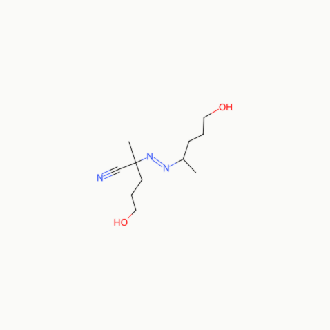 CC(CCCO)/N=N/C(C)(C#N)CCCO